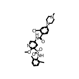 COc1ncc(NC(=O)c2ccc(N3CCN(C)CC3)cc2Cl)cc1S(=O)(=O)Nc1c(C)cccc1C